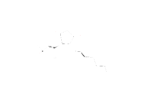 CCCCCC(C)(O)/C=C/[C@@H]1[C@@H](C/C=C/CCCC(=O)O)[C@@H](O)C[C@H]1O